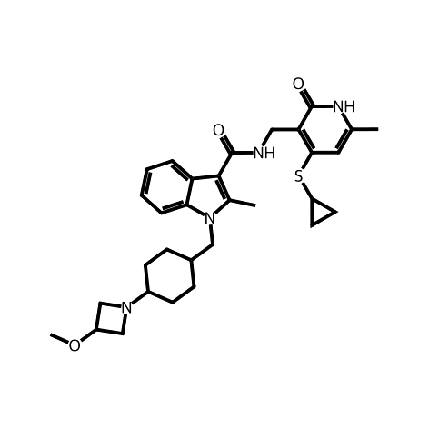 COC1CN(C2CCC(Cn3c(C)c(C(=O)NCc4c(SC5CC5)cc(C)[nH]c4=O)c4ccccc43)CC2)C1